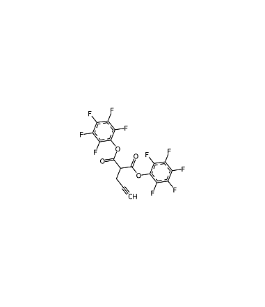 C#CCC(C(=O)Oc1c(F)c(F)c(F)c(F)c1F)C(=O)Oc1c(F)c(F)c(F)c(F)c1F